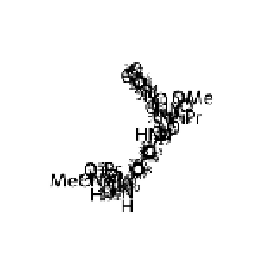 COC(=O)N[C@H](C(=O)N1C[C@H](OC(=O)N2Cc3cc4c(cc3C2)OCO4)CC1c1ncc(-c2ccc(-c3ccc(-c4c[nH]c([C@@H]5CCCN5C(=O)[C@@H](NC(=O)OC)C(C)C)n4)cc3)cc2)[nH]1)C(C)C